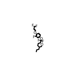 CCCC1CCC(C(F)(F)Oc2ccc(O/C=C/C(F)F)c(F)c2)OC1